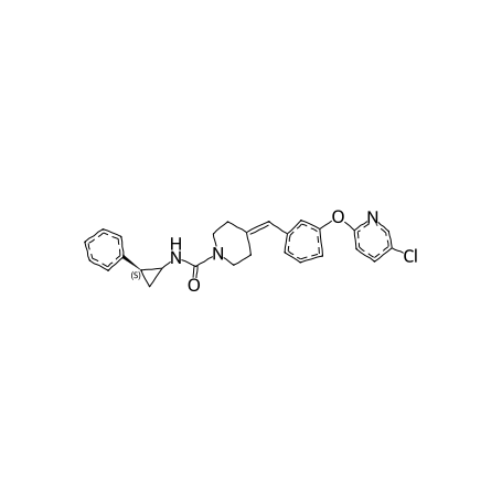 O=C(NC1C[C@H]1c1ccccc1)N1CCC(=Cc2cccc(Oc3ccc(Cl)cn3)c2)CC1